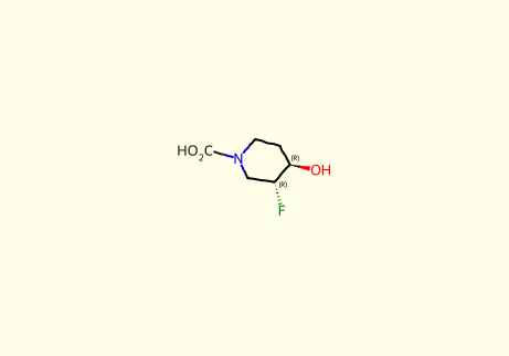 O=C(O)N1CC[C@@H](O)[C@H](F)C1